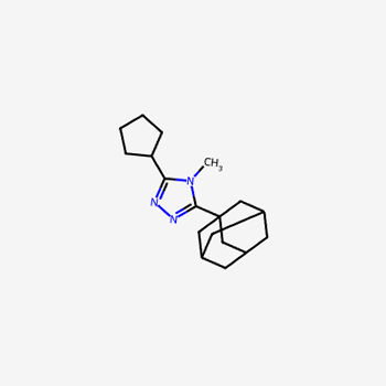 Cn1c(C2CCCC2)nnc1C12CC3CC(CC(C3)C1)C2